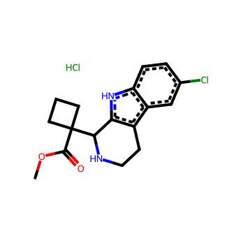 COC(=O)C1(C2NCCc3c2[nH]c2ccc(Cl)cc32)CCC1.Cl